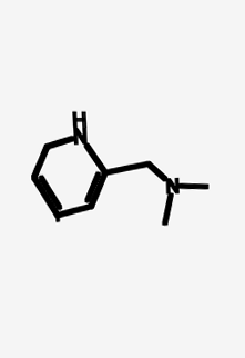 CN(C)CC1=C[C]=CCN1